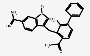 CCn1cc(Cc2c(C(N)=O)ccc(-c3ccccc3)c2C(=O)O)c2ccc(C(=N)N)cc21